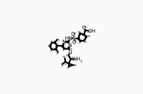 Cc1cccc(C)c1-c1cc(OCC(N)C2(C(C)C)CC2)nc(NS(=O)(=O)c2cccc(C(=O)O)c2)n1